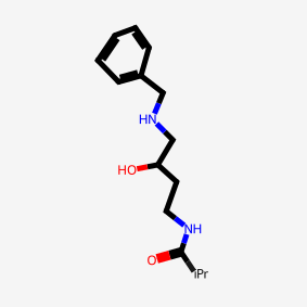 CC(C)C(=O)NCCC(O)CNCc1ccccc1